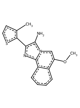 COc1cn2c(N)c(-c3sccc3C)nc2c2ccccc12